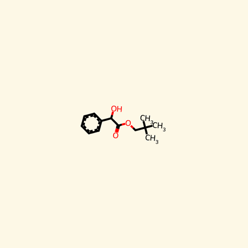 CC(C)(C)COC(=O)C(O)c1ccccc1